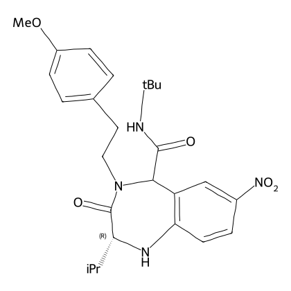 COc1ccc(CCN2C(=O)[C@@H](C(C)C)Nc3ccc([N+](=O)[O-])cc3C2C(=O)NC(C)(C)C)cc1